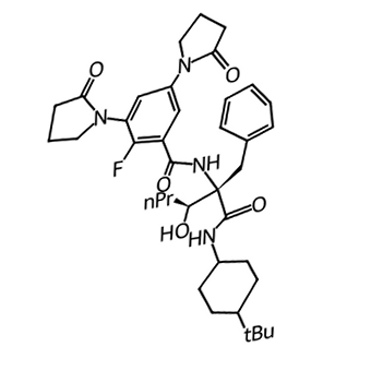 CCC[C@H](O)[C@](Cc1ccccc1)(NC(=O)c1cc(N2CCCC2=O)cc(N2CCCC2=O)c1F)C(=O)NC1CCC(C(C)(C)C)CC1